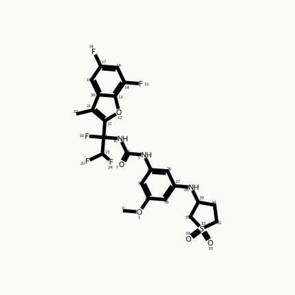 COc1cc(NC(=O)NC(F)(c2oc3c(F)cc(F)cc3c2C)C(F)F)cc(NC2CCS(=O)(=O)C2)c1